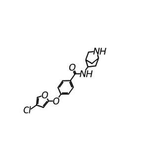 O=C(NC1CC2CC1CN2)c1ccc(Oc2cc(Cl)co2)cc1